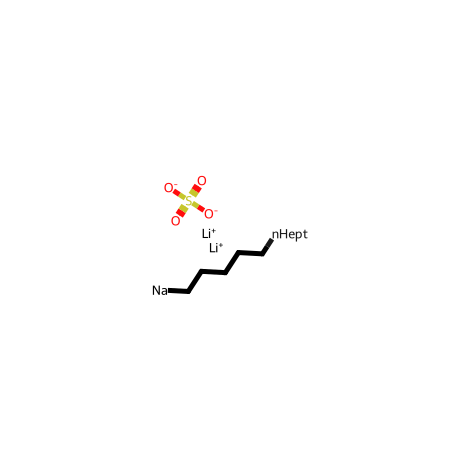 CCCCCCCCCCC[CH2][Na].O=S(=O)([O-])[O-].[Li+].[Li+]